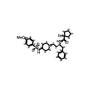 CCC1(C(=O)N[C@H](CCN2CCC(NS(=O)(=O)c3ccc(OC)cc3)CC2)Cc2ccccc2)CCCC1